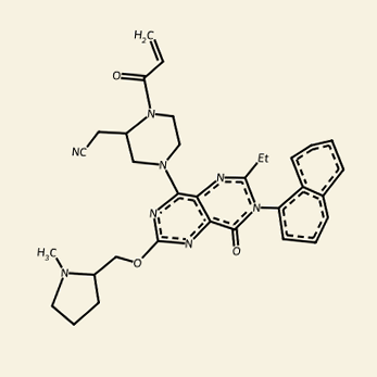 C=CC(=O)N1CCN(c2nc(OCC3CCCN3C)nc3c(=O)n(-c4cccc5ccccc45)c(CC)nc23)CC1CC#N